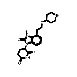 Cn1c(=O)n(C2CCC(=O)NC2=O)c2cccc(CCOC3CCNCC3)c21